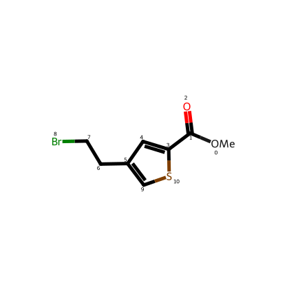 COC(=O)c1cc(CCBr)cs1